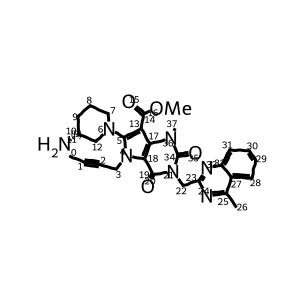 CC#CCn1c(N2CCC[C@@H](N)C2)c(C(=O)OC)c2c1c(=O)n(Cc1nc(C)c3ccccc3n1)c(=O)n2C